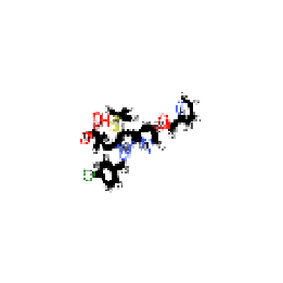 CC(C)(C)Sc1c(CC(C)(C)C(=O)O)n(Cc2ccc(Cl)cc2)c2ncc(OCc3ccccn3)cc12